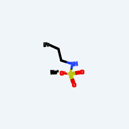 CC(C)CCNS(=O)(=O)[O-].[Na+]